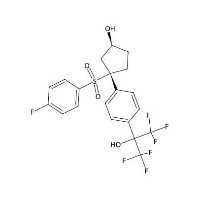 O=S(=O)(c1ccc(F)cc1)[C@@]1(c2ccc(C(O)(C(F)(F)F)C(F)(F)F)cc2)CC[C@H](O)C1